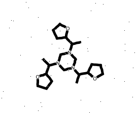 CC(C1CCCO1)N1CN(C(C)C2CCCO2)CN(C(C)C2CCCO2)C1